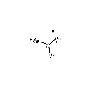 B.CC(C)(C)P(C(C)(C)C)C(C)(C)C.F